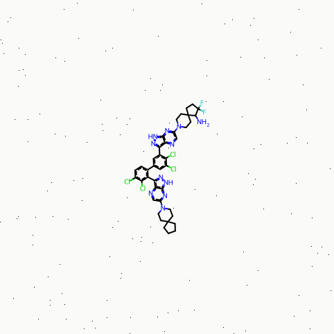 NC1C(F)(F)CCC12CCN(c1cnc3c(-c4cc(-c5ccc(Cl)c(Cl)c5-c5n[nH]c6nc(N7CCC8(CCCC8)CC7)cnc56)cc(Cl)c4Cl)n[nH]c3n1)CC2